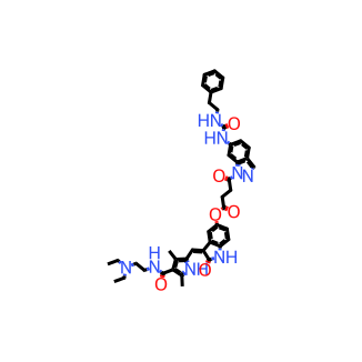 CCN(CC)CCNC(=O)c1c(C)[nH]c(/C=C2\C(=O)Nc3ccc(OC(=O)CCC(=O)n4ncc5ccc(NC(=O)NCCc6ccccc6)cc54)cc32)c1C